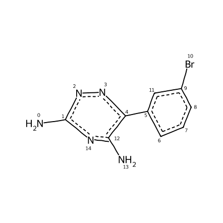 Nc1nnc(-c2cccc(Br)c2)c(N)n1